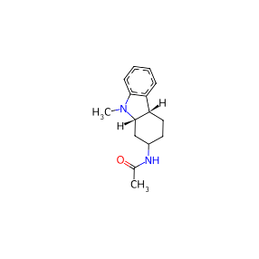 CC(=O)NC1CC[C@H]2c3ccccc3N(C)[C@H]2C1